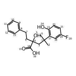 CC(C)(CC(O)(CCc1ccccc1)C(=O)O)c1cc(F)ccc1O